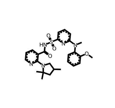 COc1ccccc1N(C)c1cccc(S(=O)(=O)NC(=O)c2cccnc2N2CC(C)CC2(C)C)n1